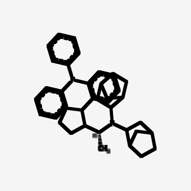 C[C@H](C1CCCC1c1ccccc1P(c1ccccc1)c1ccccc1)P(C1CC2CCC1C2)C1CC2CCC1C2